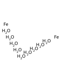 O.O.O.O.O.O.O.O.O.[Fe].[Fe]